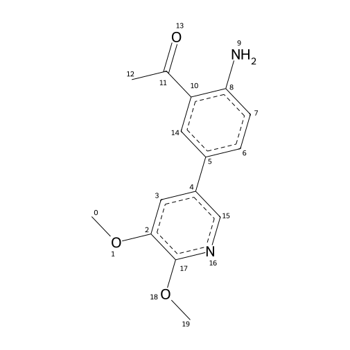 COc1cc(-c2ccc(N)c(C(C)=O)c2)cnc1OC